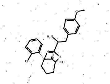 COc1ccc(CC(N)C2=N[C@]3(c4ccccc4Cl)CCC[C@H](O2)C3=O)cc1